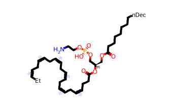 CC/C=C\C/C=C\C/C=C\C/C=C\C/C=C\C/C=C\CCC(=O)O[C@H](COC(=O)CCCCCCCCCCCCCCCCC)COP(=O)(O)OCCN